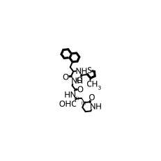 Cc1ccsc1C(=O)NC(Cc1cccc2ccccc12)C(=O)NCC(=O)N[C@H](C=O)C[C@@H]1CCCNC1=O